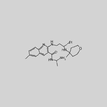 CCC(CCNc1nc2ccc(C)cc2cc1C(=O)NC(C)N)NC1(C)CCOCC1